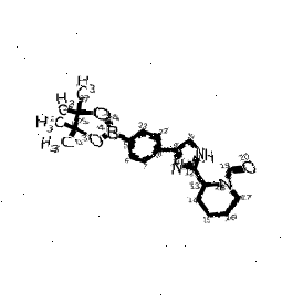 CC1(C)OB(c2ccc(-c3c[nH]c(C4CCCCN4C=O)n3)cc2)OC1(C)C